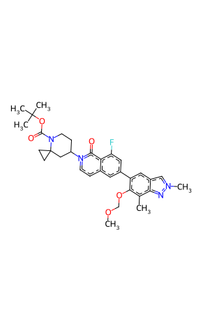 COCOc1c(-c2cc(F)c3c(=O)n(C4CCN(C(=O)OC(C)(C)C)C5(CC5)C4)ccc3c2)cc2cn(C)nc2c1C